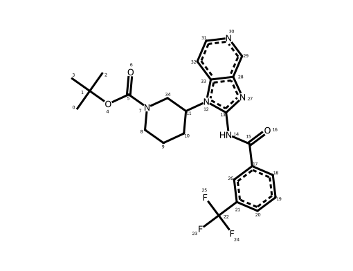 CC(C)(C)OC(=O)N1CCCC(n2c(NC(=O)c3cccc(C(F)(F)F)c3)nc3cnccc32)C1